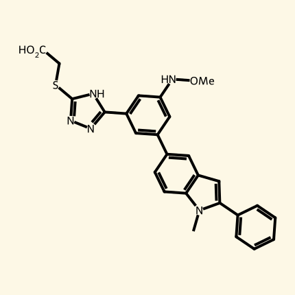 CONc1cc(-c2ccc3c(c2)cc(-c2ccccc2)n3C)cc(-c2nnc(SCC(=O)O)[nH]2)c1